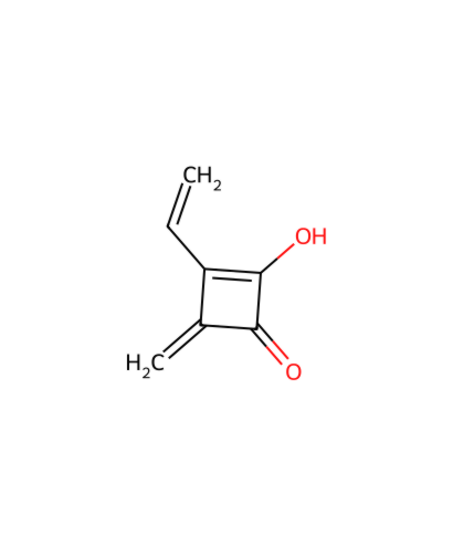 C=CC1=C(O)C(=O)C1=C